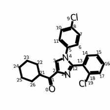 O=C(c1cn(-c2ccc(Cl)cc2)c(-c2ccccc2Cl)n1)C1CCCCC1